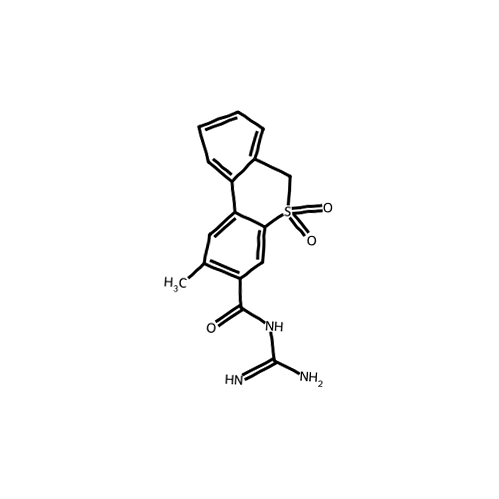 Cc1cc2c(cc1C(=O)NC(=N)N)S(=O)(=O)Cc1ccccc1-2